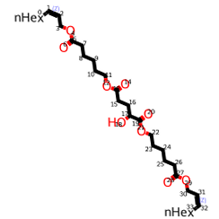 CCCCCC/C=C\COC(=O)CCCCCOC(=O)CCC(O)C(=O)OCCCCCC(=O)OC/C=C\CCCCCC